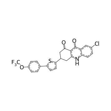 O=C1CC(c2ccc(-c3ccc(OC(F)(F)F)cc3)s2)Cc2[nH]c3ccc(Cl)cc3c(=O)c21